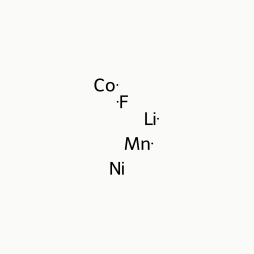 [Co].[F].[Li].[Mn].[Ni]